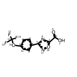 O=C(O)c1nc(-c2ccc(OC(F)(F)F)cc2)no1